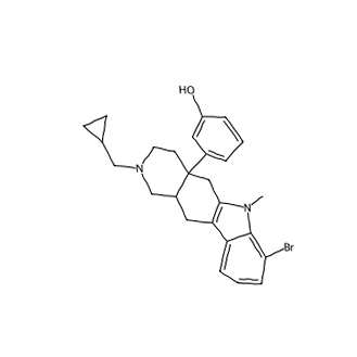 Cn1c2c(c3cccc(Br)c31)CC1CN(CC3CC3)CCC1(c1cccc(O)c1)C2